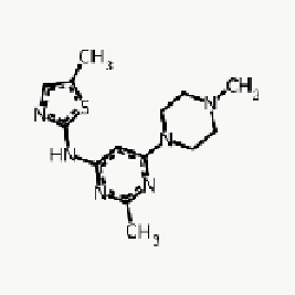 Cc1nc(Nc2ncc(C)s2)cc(N2CCN(C)CC2)n1